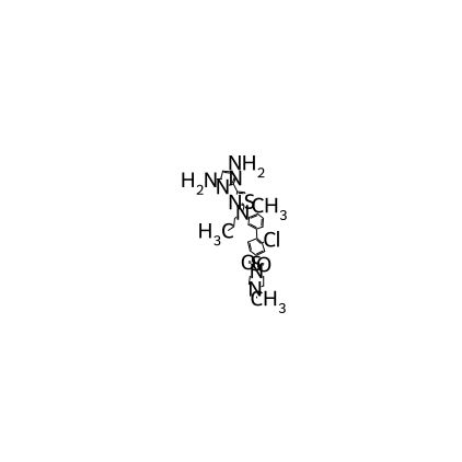 CCCN(c1nc(-c2nc(N)cc(N)n2)cs1)c1cc(-c2ccc(S(=O)(=O)N3CCN(C)CC3)cc2Cl)ccc1C